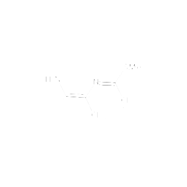 CS/C(C)=N/C(C)=C\N